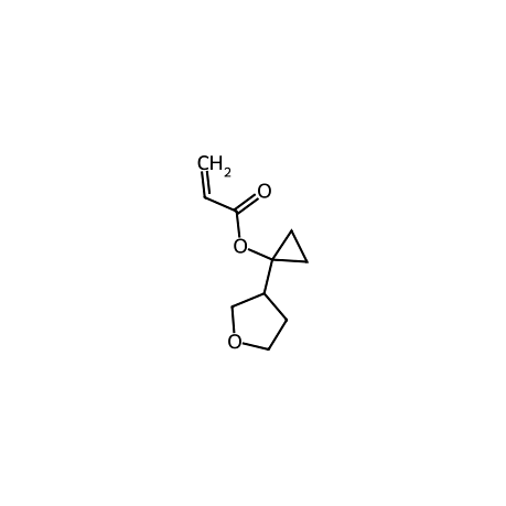 C=CC(=O)OC1(C2CCOC2)CC1